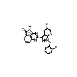 CCOC(=O)[C@]12CC=Cc3nc(-c4nn(Cc5ccccc5F)c5ncc(F)cc45)nc(c31)NC2=O